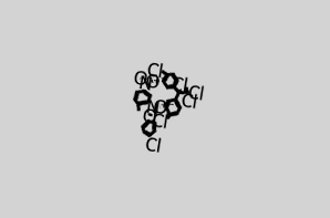 Cc1ccc([N+](=O)[O-])cc1[N+](=O)[O-].Clc1ccc(C(c2ccc(Cl)cc2)C(Cl)(Cl)Cl)cc1.Clc1ccccc1